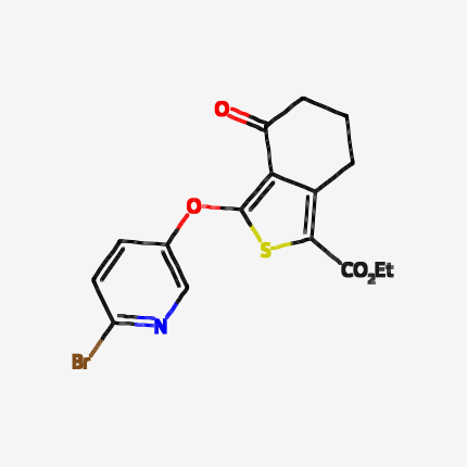 CCOC(=O)c1sc(Oc2ccc(Br)nc2)c2c1CCCC2=O